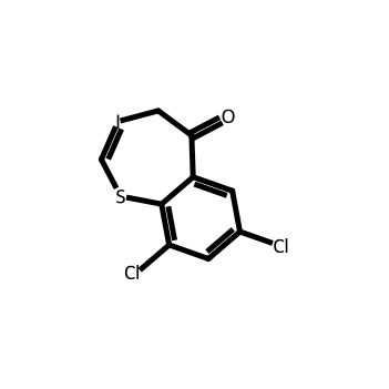 O=C1CI=CSc2c(Cl)cc(Cl)cc21